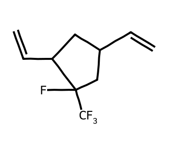 C=CC1CC(C=C)C(F)(C(F)(F)F)C1